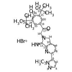 Br.Cn1nccc1-c1ccc2c(n1)C(=N)N(CC(=O)c1cc(C(C)(C)C)c(O)c(C(C)(C)C)c1)C2